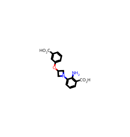 Nc1c(C(=O)O)cccc1N1CC(Oc2cccc(C(=O)O)c2)C1